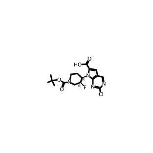 CC(C)(C)OC(=O)N1CC[C@@H](n2c(C(=O)O)cc3cnc(Cl)nc32)[C@@H](F)C1